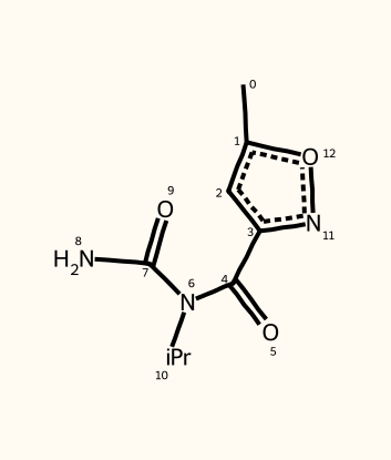 Cc1cc(C(=O)N(C(N)=O)C(C)C)no1